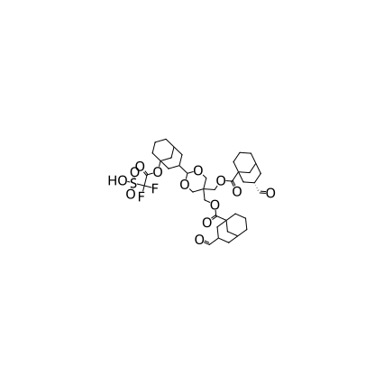 O=CC1CC2CCCC(C(=O)OCC3(COC(=O)C45CCCC(C[C@H](C=O)C4)C5)COC(C4CC5CCCC(OC(=O)C(F)(F)S(=O)(=O)O)(C5)C4)OC3)(C1)C2